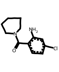 Nc1cc(Cl)ccc1C(=O)N1CCCCC1